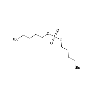 CC(C)(C)CCCCOS(=O)(=O)OCCCCC(C)(C)C